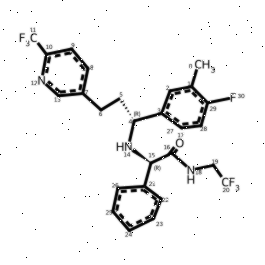 Cc1cc([C@@H](CCc2ccc(C(F)(F)F)nc2)N[C@@H](C(=O)NCC(F)(F)F)c2ccccc2)ccc1F